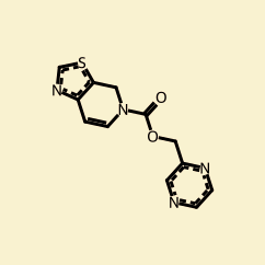 O=C(OCc1cnccn1)N1C=Cc2ncsc2C1